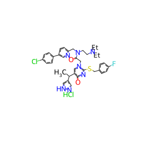 CCN(CC)CCN(Cc1ccc(-c2ccc(Cl)cc2)cn1)C(=O)Cn1cc(C(C)c2cn[nH]c2)c(=O)nc1SCc1ccc(F)cc1.Cl